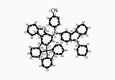 N#Cc1ccc(N(c2ccc3c(c2)c2ccccc2n3-c2ccccc2)c2cc3c(c4c2oc2ccccc24)-c2ccccc2C32c3ccccc3-c3ccccc32)cc1